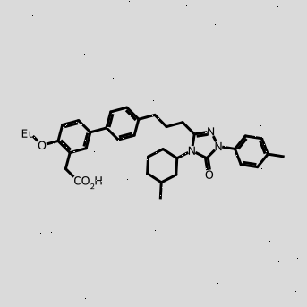 CCOc1ccc(-c2ccc(CCCc3nn(-c4ccc(C)cc4)c(=O)n3C3CCCC(C)C3)cc2)cc1CC(=O)O